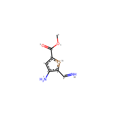 COC(=O)c1cc(N)c(C=N)s1